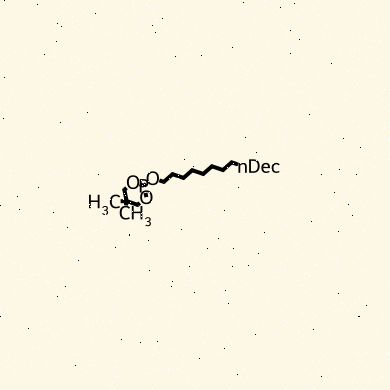 CCCCCCCCCCCCCCCCCCOP1OCC(C)(C)CO1